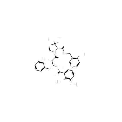 Cc1ccncc1CNC(=O)[C@H]1N(C(=O)[C@@H](O)[C@H](Cc2ccccc2)NC(=O)c2cccc(O)c2C)CSC1(C)C